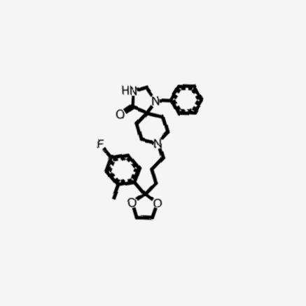 Cc1cc(F)ccc1C1(CCCN2CCC3(CC2)C(=O)NCN3c2ccccc2)OCCO1